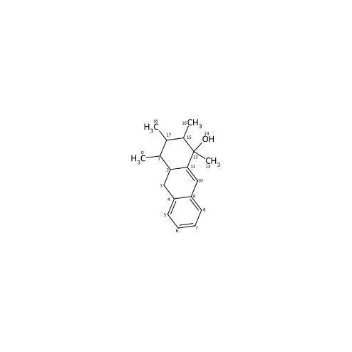 CC1C2Cc3ccccc3C=C2C(C)(O)C(C)C1C